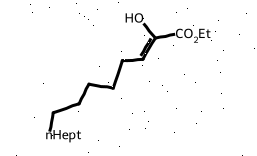 CCCCCCCCCCCCC=C(O)C(=O)OCC